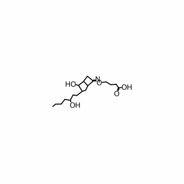 CCCCC(O)CCC1CC2C(=NOCCCC(=O)O)CC2C1O